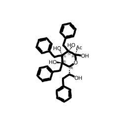 CC(=O)[C@]1(O)O[C@H](C(O)Cc2ccccc2)[C@](O)(Cc2ccccc2)[C@@](O)(Cc2ccccc2)[C@@]1(O)Cc1ccccc1